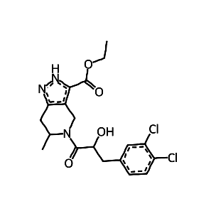 CCOC(=O)c1[nH]nc2c1CN(C(=O)C(O)Cc1ccc(Cl)c(Cl)c1)C(C)C2